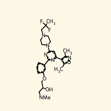 CNCC(O)COc1cccc(-c2nc(-c3c(C)noc3C)cc(N3CCN(CC(C)(F)F)CC3)n2)c1